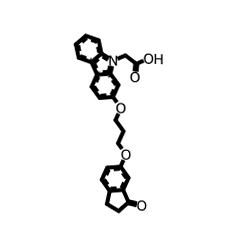 O=C(O)Cn1c2ccccc2c2ccc(OCCCOc3ccc4c(c3)C(=O)CC4)cc21